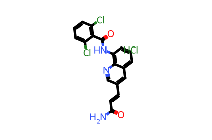 Cl.NC(=O)C=Cc1cnc2c(NC(=O)c3c(Cl)cccc3Cl)cccc2c1